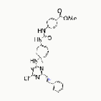 COC(=O)c1ccc(NC(=O)NC2=CC=CC(C)(Nc3nc(Cl)nc(/C=C/c4ccccc4)n3)C=C2)cc1